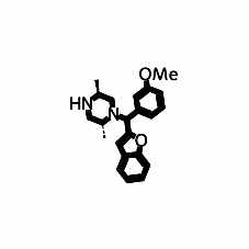 COc1cccc(C(c2cc3ccccc3o2)N2C[C@H](C)NC[C@H]2C)c1